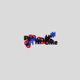 COc1cc2c(cc1OCCCOc1cc3c(cc1OC)C(=O)N1C=C(c4ccc(NC(=O)[C@H](C)NC(=O)C(NC(=O)CCCCCN5C(=O)C=CC5=O)C(C)C)cc4)C[C@H]1C=N3)N=C[C@@H]1CC(c3ccc(N4CCN(C)CC4)cc3)=CC1C2=O